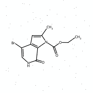 CCOC(=O)n1c(C)cc2c(Br)c[nH]c(=O)c21